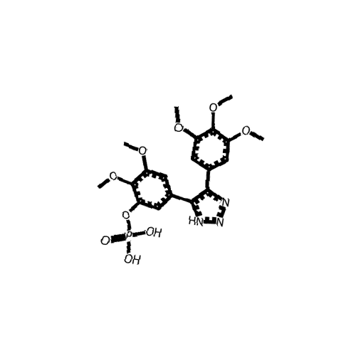 COc1cc(-c2nn[nH]c2-c2cc(OC)c(OC)c(OP(=O)(O)O)c2)cc(OC)c1OC